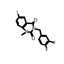 Cn1c(=O)n(Cc2ccc(F)c(F)c2)c(=O)c2cc(I)ccc21